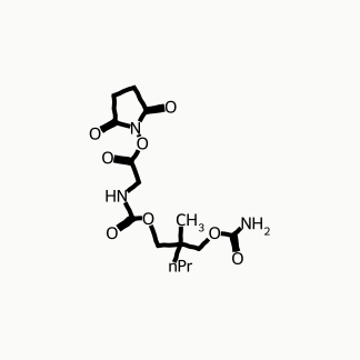 CCCC(C)(COC(N)=O)COC(=O)NCC(=O)ON1C(=O)CCC1=O